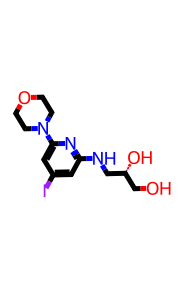 OC[C@@H](O)CNc1cc(I)cc(N2CCOCC2)n1